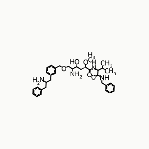 CO[C@H](C[C@H](O)[C@@H](N)COCc1cccc(CC(N)Cc2ccccc2)c1)C(=O)NC(C(=O)NCc1ccccc1)C(C)C